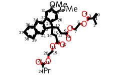 C=C(C)C(=O)OCCOC(=O)CCC1(CCC(=O)OCCOC(=O)C(C)C)c2cc(OC)c(OC)cc2-c2cc3ccccc3cc21